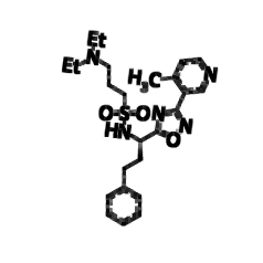 CCN(CC)CCCS(=O)(=O)N[C@H](CCc1ccccc1)c1nc(-c2cnccc2C)no1